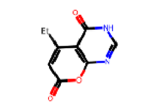 CCc1cc(=O)oc2nc[nH]c(=O)c12